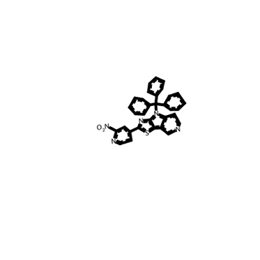 O=[N+]([O-])c1cc(-c2nc3c(s2)c2cnccc2n3C(c2ccccc2)(c2ccccc2)c2ccccc2)ccn1